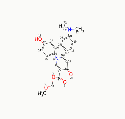 COCOC(=O)c1cn(-c2ccc(O)cc2)c(-c2ccc(N(C)C)cc2)cc1=O